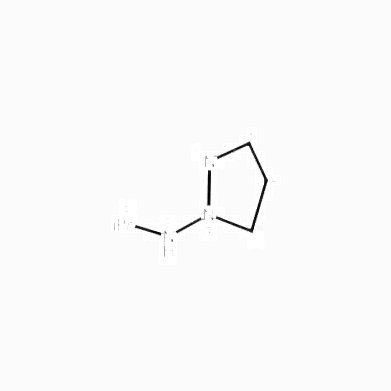 CC(C)NN1CCC[N]1